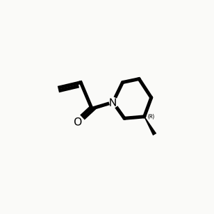 C=CC(=O)N1CCC[C@@H](C)C1